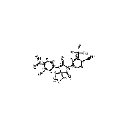 N#Cc1ccc(N2C(=O)C3(CCOC3)N(c3ccc(C(N)=O)c(F)c3)C2=S)cc1C(F)(F)F